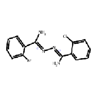 N/C(=N\N=C(/N)c1ccccc1Br)c1ccccc1Cl